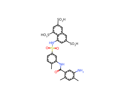 Cc1cc(C)c(C(=O)Nc2cc(S(=O)(=O)Nc3cc(S(=O)(=O)O)cc4cc(S(=O)(=O)O)cc(S(=O)(=O)O)c34)ccc2C)cc1N